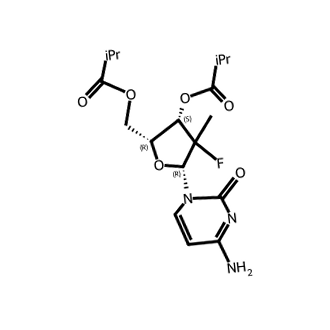 CC(C)C(=O)OC[C@H]1O[C@@H](n2ccc(N)nc2=O)C(C)(F)[C@H]1OC(=O)C(C)C